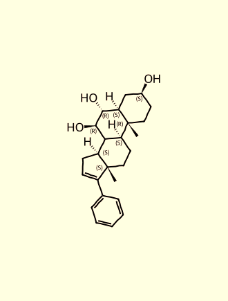 C[C@]12CC[C@H](O)C[C@@H]1[C@@H](O)[C@H](O)C1[C@@H]2CC[C@]2(C)C(c3ccccc3)=CC[C@@H]12